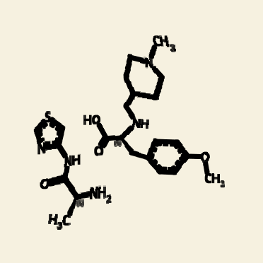 COc1ccc(C[C@H](NCC2CCN(C)CC2)C(=O)O)cc1.C[C@H](N)C(=O)Nc1cscn1